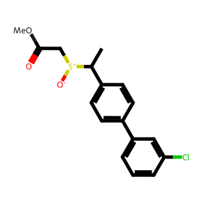 COC(=O)C[S+]([O-])C(C)c1ccc(-c2cccc(Cl)c2)cc1